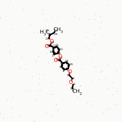 C=CCOCCOc1ccc(C(=O)Oc2ccc(C(=O)OCC(C)CC)cc2)cc1